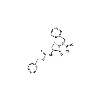 O=C(N[C@H]1CCN([C@@H](Cc2ccccc2)C(=O)O)C1=O)OCc1ccccc1